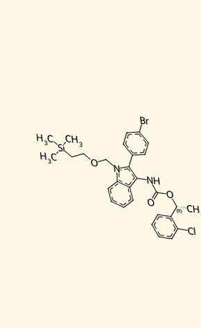 C[C@@H](OC(=O)Nc1c(-c2ccc(Br)cc2)n(COCC[Si](C)(C)C)c2ccccc12)c1ccccc1Cl